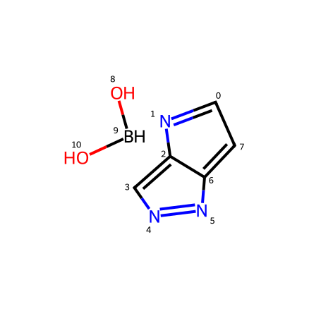 C1=NC2=CN=NC2=C1.OBO